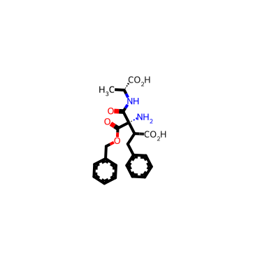 C[C@@H](NC(=O)[C@](N)(C(=O)OCc1ccccc1)C(Cc1ccccc1)C(=O)O)C(=O)O